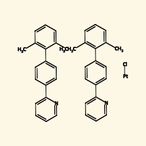 Cc1cccc(C)c1-c1ccc(-c2ccccn2)cc1.Cc1cccc(C)c1-c1ccc(-c2ccccn2)cc1.[Cl][Pt]